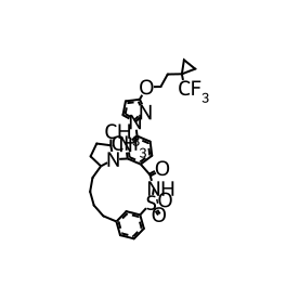 CC1(C)CCC2CCCCc3cccc(c3)S(=O)(=O)NC(=O)c3ccc(-n4ccc(OCCC5(C(F)(F)F)CC5)n4)nc3N21